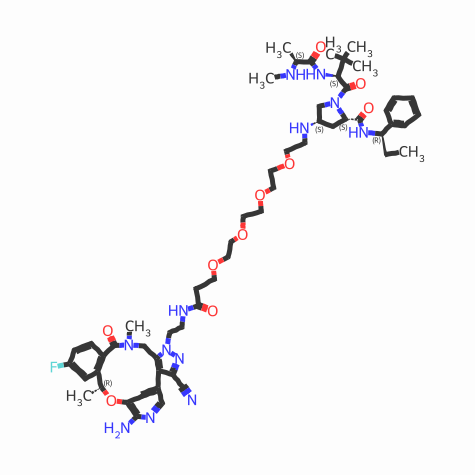 CC[C@@H](NC(=O)[C@@H]1C[C@H](NCCOCCOCCOCCOCCC(=O)NCCn2nc(C#N)c3c2CN(C)C(=O)c2ccc(F)cc2[C@@H](C)Oc2cc-3cnc2N)CN1C(=O)[C@@H](NC(=O)[C@H](C)NC)C(C)(C)C)c1ccccc1